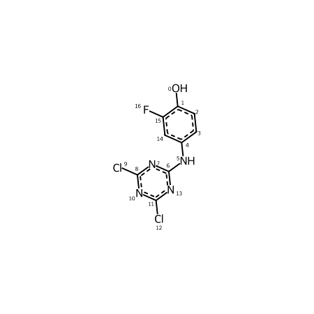 Oc1ccc(Nc2nc(Cl)nc(Cl)n2)cc1F